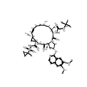 COc1cc2ccnc(O[C@@H]3C[C@H]4C(=O)N[C@]5(C(=O)NS(=O)(=O)C6(C)CC6)C[C@H]5/C=C\CC[C@H](C)C[C@@H](C)[C@H](NC(=O)OC(C)(C)C)C(=O)N4C3)c2cc1OC